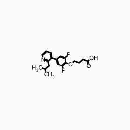 CC(C)Cc1ncccc1-c1cc(F)c(OCCCC(=O)O)c(F)c1